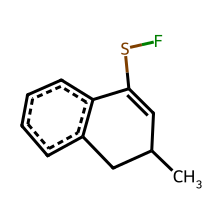 CC1C=C(SF)c2ccccc2C1